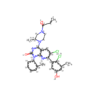 C=CC(=O)N1CCN(c2nc(=O)n(-c3ccccc3C(C)C)c3nc(-c4cc(O)cc(C)c4Cl)c(Cl)cc23)[C@@H](C)C1